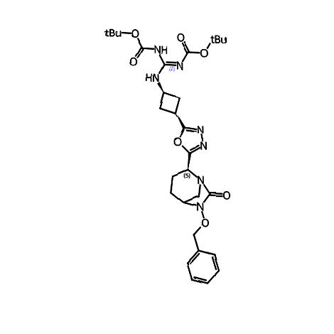 CC(C)(C)OC(=O)/N=C(\NC(=O)OC(C)(C)C)N[C@H]1C[C@@H](c2nnc([C@@H]3CCC4CN3C(=O)N4OCc3ccccc3)o2)C1